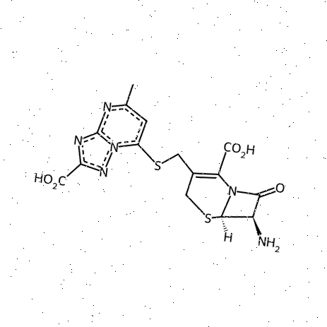 Cc1cc(SCC2=C(C(=O)O)N3C(=O)[C@@H](N)[C@H]3SC2)n2nc(C(=O)O)nc2n1